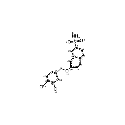 NS(=O)(=O)c1ccc2ccc(OCc3ccc(Cl)c(Cl)c3)cc2c1